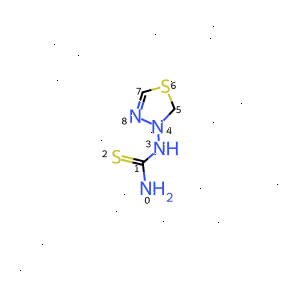 NC(=S)NN1CSC=N1